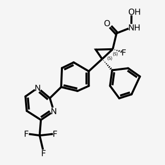 O=C(NO)[C@]1(F)C[C@]1(c1ccccc1)c1ccc(-c2nccc(C(F)(F)F)n2)cc1